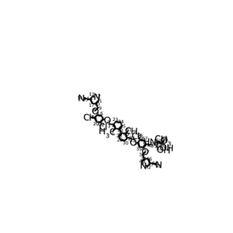 Cc1c(COc2cc(OCc3cncc(C#N)c3)c(Cl)cc2Cl)cccc1-c1cccc(COc2cc(OCc3cncc(C#N)c3)c(CNC(C)(CO)C(=O)O)cc2Cl)c1C